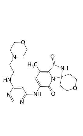 Cc1cc(Nc2cc(NCCN3CCOCC3)ncn2)c(=O)n2c1C(=O)NC21CCOCC1